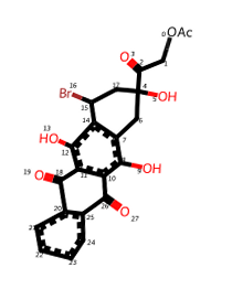 CC(=O)OCC(=O)C1(O)Cc2c(O)c3c(c(O)c2C(Br)C1)C(=O)c1ccccc1C3=O